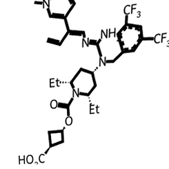 C=CC(=C\N=C(/N)N(Cc1cc(C(F)(F)F)cc(C(F)(F)F)c1)[C@H]1C[C@@H](CC)N(C(=O)O[C@H]2C[C@H](C(=O)O)C2)[C@@H](CC)C1)/C(C=C)=C/N(C)N